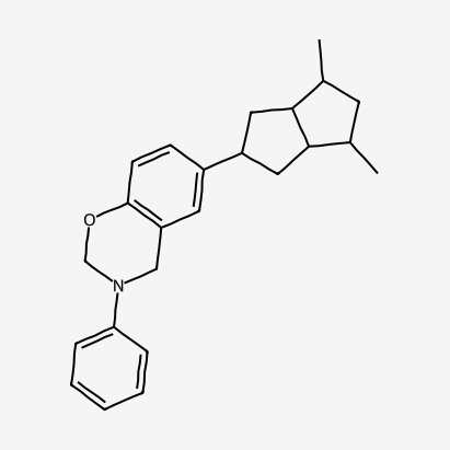 CC1CC(C)C2CC(c3ccc4c(c3)CN(c3ccccc3)CO4)CC12